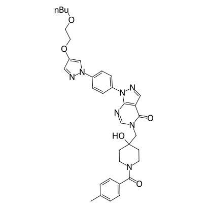 CCCCOCCOc1cnn(-c2ccc(-n3ncc4c(=O)n(CC5(O)CCN(C(=O)c6ccc(C)cc6)CC5)cnc43)cc2)c1